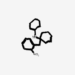 O=[N+]([O-])c1ccccc1CC1(NC2CCCCC2)CCCCC1